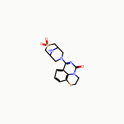 O=c1nc(N2CC3CS(=O)(=O)CC(C2)N3)c2cccc3c2n1CCS3